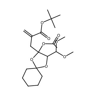 C=C(CC1(OC(C)=O)OC2(CCCCC2)OC1C(OC)OC)C(=O)OC(C)(C)C